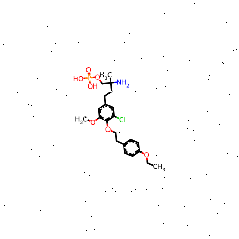 CCOc1ccc(CCOc2c(Cl)cc(CC[C@@](C)(N)COP(=O)(O)O)cc2OC)cc1